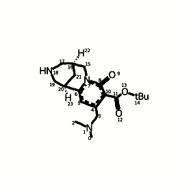 CN(C)Cc1cc2n(c(=O)c1C(=O)OC(C)(C)C)C[C@@H]1CNC[C@H]2C1